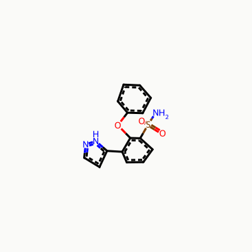 NS(=O)(=O)c1cccc(-c2ccn[nH]2)c1Oc1ccccc1